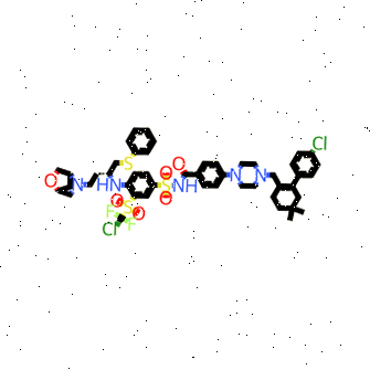 CC1(C)CCC(CN2CCN(c3ccc(C(=O)NS(=O)(=O)c4ccc(N[C@H](CCN5CC6CC5CO6)CSc5ccccc5)c(S(=O)(=O)C(F)(F)Cl)c4)cc3)CC2)=C(c2ccc(Cl)cc2)C1